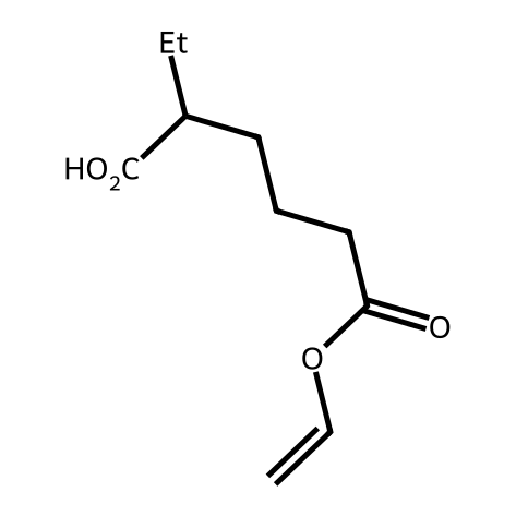 C=COC(=O)CCCC(CC)C(=O)O